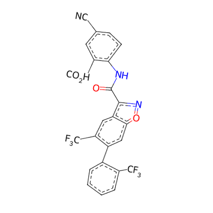 N#Cc1ccc(NC(=O)c2noc3cc(-c4ccccc4C(F)(F)F)c(C(F)(F)F)cc23)c(C(=O)O)c1